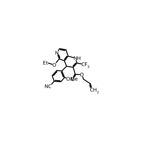 C=CCOC(=O)C1=C(C(F)(F)F)Nc2ccnc(OCC)c2C1c1ccc(C#N)cc1OC